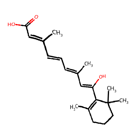 CC1=C(/C(O)=C/C(C)=C/C=C/C(C)=C/C(=O)O)C(C)(C)CCC1